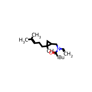 C=CN(CC1CC1(C)CCC=C(C)C)C(=O)C(C)CC